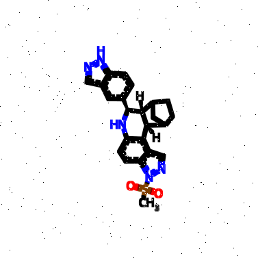 CS(=O)(=O)n1ncc2c3c(ccc21)N[C@@H](c1ccc2[nH]ncc2c1)[C@@H]1C2CCC(C2)[C@H]31